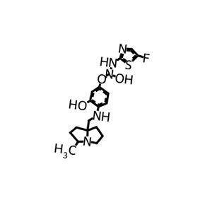 CC1CCC2(CNc3ccc(ON(O)Nc4ncc(F)s4)cc3O)CCCN12